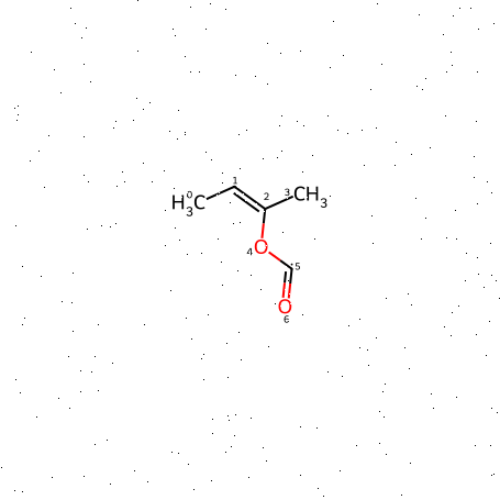 CC=C(C)O[C]=O